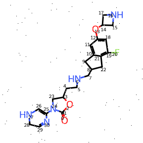 O=C1OC(CCNCC2Cc3cc(OC4CNC4)cc(F)c3C2)CN1C1=CNCC=N1